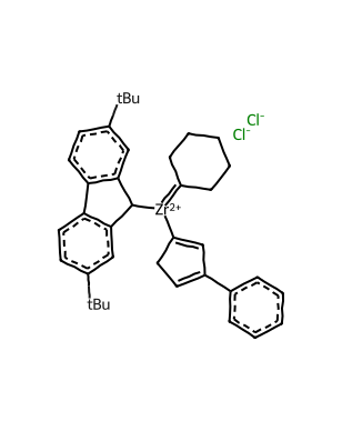 CC(C)(C)c1ccc2c(c1)[CH]([Zr+2]([C]1=CC(c3ccccc3)=CC1)=[C]1CCCCC1)c1cc(C(C)(C)C)ccc1-2.[Cl-].[Cl-]